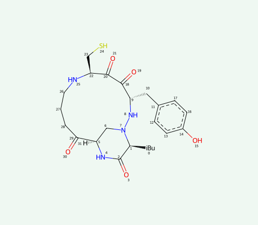 CCC(C)[C@H]1C(=O)N[C@@H]2CN1N[C@@H](Cc1ccc(O)cc1)C(=O)C(=O)[C@H](CS)NCCCC2=O